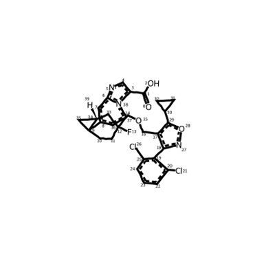 O=C(O)c1cnc2cc(C34CCC(F)(COCc5c(-c6c(Cl)cccc6Cl)noc5C5CC5)C[C@H]3C4)ccn12